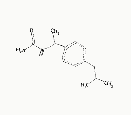 CC(C)Cc1ccc(C(C)NC(N)=O)cc1